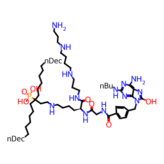 CCCCCCCCCCCCCCCCC(CCCCCCCCCCCCCCCC)(CCNCCCC[C@H](NC(=O)CNC(=O)c1ccc(Cn2c(O)nc3c(N)nc(NCCCC)nc32)cc1)C(=O)NCCCNCCCCNCCCN)P(=O)(O)O